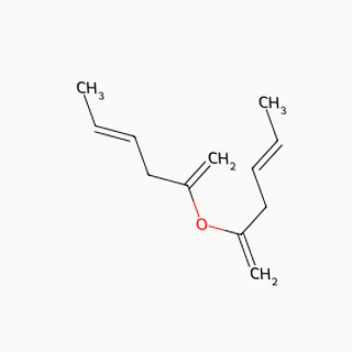 C=C(CC=CC)OC(=C)CC=CC